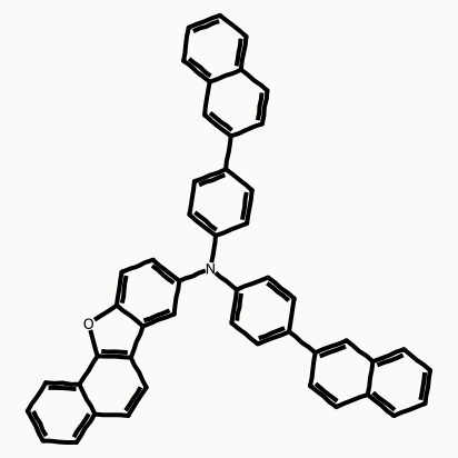 c1ccc2cc(-c3ccc(N(c4ccc(-c5ccc6ccccc6c5)cc4)c4ccc5oc6c7ccccc7ccc6c5c4)cc3)ccc2c1